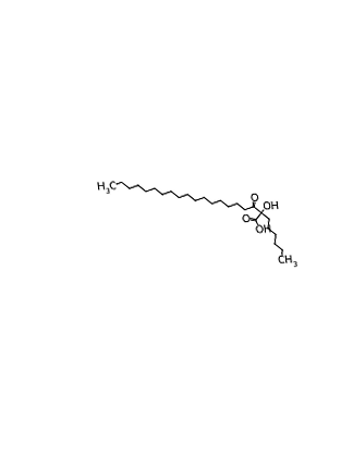 CCCCCCCCCCCCCCCCCC(=O)C(O)(CCCCCC)C(=O)O